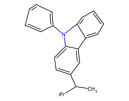 CC(C)C(C)c1ccc2c(c1)c1ccccc1n2-c1ccccc1